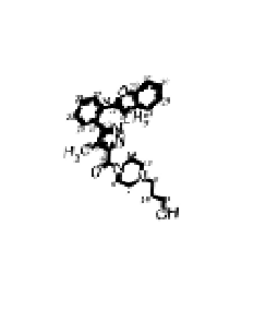 Cc1c(C(=O)N2CCN(CCCO)CC2)nn(C)c1-c1ccccc1-c1cc2ccccc2o1